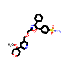 COC1(c2cncc(COCc3nc(-c4ccccc4)c(-c4ccc(S(N)(=O)=O)cc4)o3)c2)CCOCC1